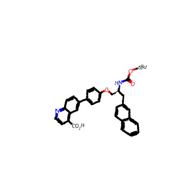 CC(C)(C)OC(=O)N[C@H](COc1ccc(-c2ccc3nccc(C(=O)O)c3c2)cc1)Cc1ccc2ccccc2c1